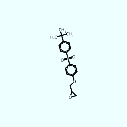 CC(C)(C)c1ccc(S(=O)(=O)c2ccc(OCC3CO3)cc2)cc1